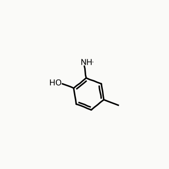 Cc1ccc(O)c([NH])c1